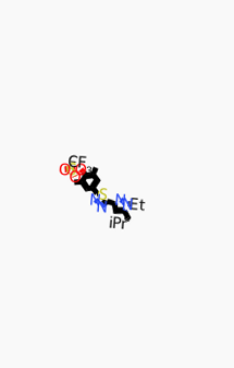 CCn1nc(-c2nnc(-c3cc(C)c(OS(=O)(=O)C(F)(F)F)c(C)c3)s2)cc1CC(C)C